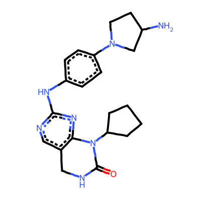 NC1CCN(c2ccc(Nc3ncc4c(n3)N(C3CCCC3)C(=O)NC4)cc2)C1